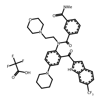 CNC(=O)c1cccc(C(=O)N(CCN2CCOCC2)c2ccc(N3CCCCC3)cc2C(=O)c2cc3ccc(C(F)(F)F)cc3[nH]2)c1.O=C(O)C(F)(F)F